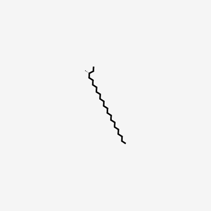 CCCCCCCCCCCCCCCCCCCC[C@H](C)CC